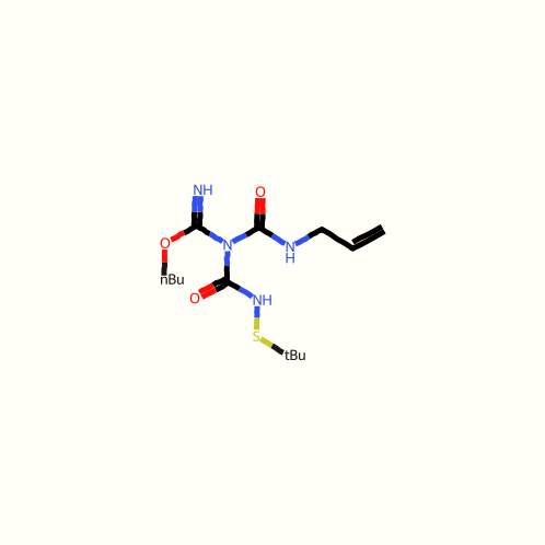 C=CCNC(=O)N(C(=N)OCCCC)C(=O)NSC(C)(C)C